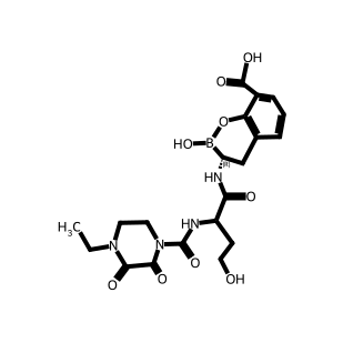 CCN1CCN(C(=O)NC(CCO)C(=O)N[C@H]2Cc3cccc(C(=O)O)c3OB2O)C(=O)C1=O